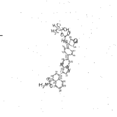 CC(C)(C)OC(=O)NC1(c2ccc(-c3cnc4c(-c5ccc(S(N)(=O)=O)c6ccccc56)cnn4c3)cc2)COC1